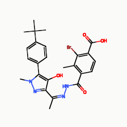 CC(=NNC(=O)c1ccc(C(=O)O)c(Br)c1C)c1nn(C)c(-c2ccc(C(C)(C)C)cc2)c1O